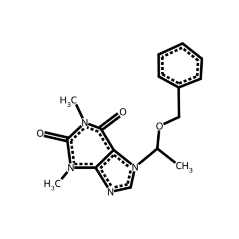 CC(OCc1ccccc1)n1cnc2c1c(=O)n(C)c(=O)n2C